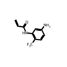 C=CC(=O)Nc1cc(N)ccc1C(F)(F)F